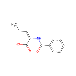 CCC=C(NC(=O)c1ccccc1)C(=O)O